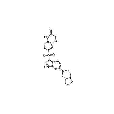 O=C1COc2cc(S(=O)(=O)c3c[nH]c4cc(N5CCN6CCCC6C5)ccc34)ccc2N1